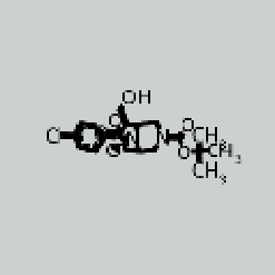 CC(C)(C)OC(=O)N1CC2CC(=O)C(=CO)C(C1)N2S(=O)(=O)c1ccc(Cl)cc1